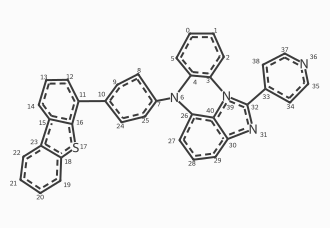 c1ccc2c(c1)N(c1ccc(-c3cccc4c3sc3ccccc34)cc1)c1cccc3nc(-c4ccncc4)n-2c13